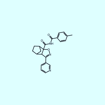 Cc1ccc(C(=O)NC(=O)C23ON=C(c4cccnc4)C2C2CCC3C2)cc1